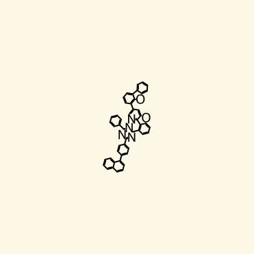 c1ccc(-c2nc(-c3ccc(-c4cccc5ccccc45)cc3)nc(-c3cccc4oc5cc(-c6cccc7c6oc6ccccc67)cnc5c34)n2)cc1